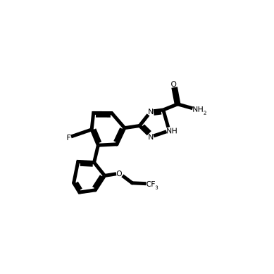 NC(=O)c1nc(-c2ccc(F)c(-c3ccccc3OCC(F)(F)F)c2)n[nH]1